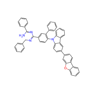 N/C(=N\C(=N/Cc1ccccc1)c1ccc(-n2c3ccccc3c3cc(-c4ccc5c(c4)oc4ccccc45)ccc32)c(-c2ccccc2)c1)c1ccccc1